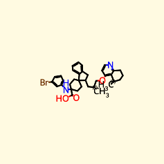 C[C@@H](COc1ccnc2c1[C@H](C)CCC2)CC1Cc2ccccc2C12CCC(Nc1cccc(Br)c1)(C(=O)O)CC2